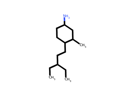 CCC(CC)CCC1CCC(N)CC1C